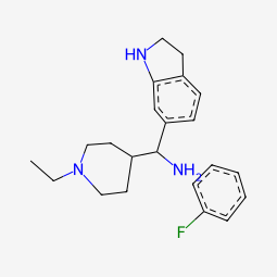 CCN1CCC(C(N)c2ccc3c(c2)NCC3)CC1.Fc1ccccc1